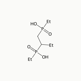 CCC(CP(=O)(O)CC)P(=O)(O)CC